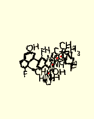 C#Cc1c(F)ccc2cc(O)cc(-c3ccc4c(N5C[C@H]6CC[C@@H](C5)N6C[C@@H](O)CNC(=O)OC(C)(C)C)nc(OC[C@@]56CCCN5C[C@H](F)C6)nc4c3F)c12